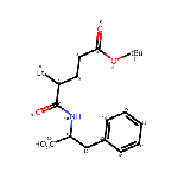 CCC(CCC(=O)OC(C)(C)C)C(=O)NC(Cc1ccccc1)C(=O)O